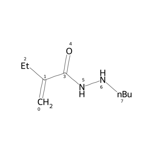 C=C(CC)C(=O)NNCCCC